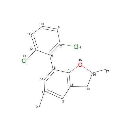 Cc1cc2c(c(-c3c(Cl)cccc3Cl)c1)OC(C)C2